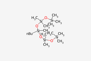 CCCC[Si](C)(O[Si](C)(C)O[Si](C)(C)C)O[Si](C)(C)O[Si](C)(C)C